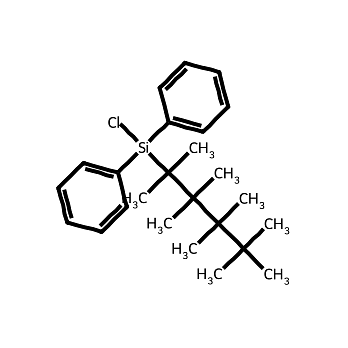 CC(C)(C)C(C)(C)C(C)(C)C(C)(C)[Si](Cl)(c1ccccc1)c1ccccc1